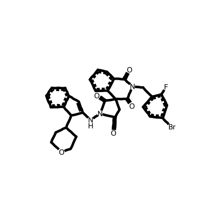 O=C1c2ccccc2C2(CC(=O)N(NC3=Cc4ccccc4C3C3CCOCC3)C2=O)C(=O)N1Cc1ccc(Br)cc1F